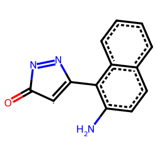 Nc1ccc2ccccc2c1C1=[C]C(=O)N=N1